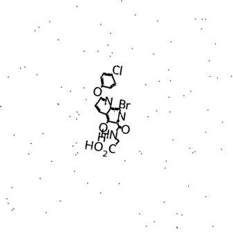 O=C(O)CNC(=O)c1nc(Br)c2nc(Oc3ccc(Cl)cc3)ccc2c1O